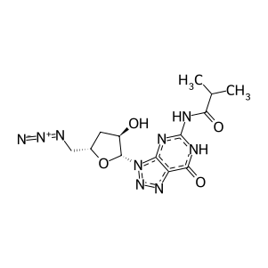 CC(C)C(=O)Nc1nc2c(nnn2[C@@H]2O[C@H](CN=[N+]=[N-])C[C@H]2O)c(=O)[nH]1